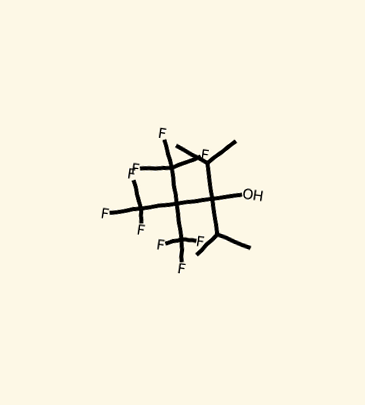 CC(C)C(O)(C(C)C)C(C(F)(F)F)(C(F)(F)F)C(F)(F)F